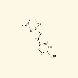 CN1CCCC(COc2ccc(C=O)cc2)C1